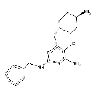 Nc1nc(NCc2ccccc2)nc(C[C@H]2CC[C@H](N)CC2)c1Cl